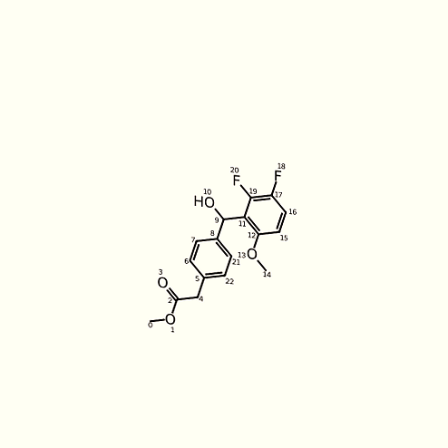 COC(=O)Cc1ccc(C(O)c2c(OC)ccc(F)c2F)cc1